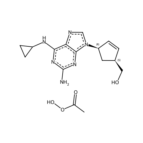 CC(=O)OO.Nc1nc(NC2CC2)c2ncn([C@H]3C=C[C@@H](CO)C3)c2n1